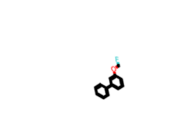 FCOc1cccc(-c2[c]cccc2)c1